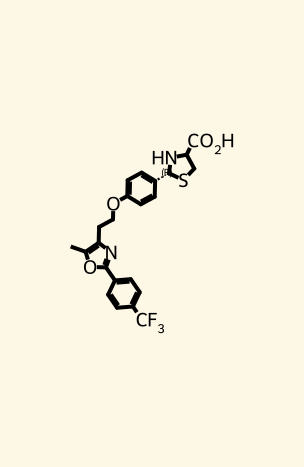 Cc1oc(-c2ccc(C(F)(F)F)cc2)nc1CCOc1ccc([C@@H]2NC(C(=O)O)CS2)cc1